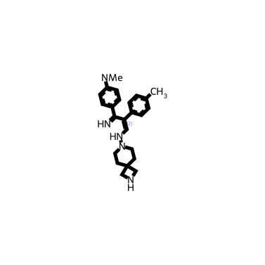 CNc1ccc(C(=N)/C(=C\NN2CCC3(CC2)CNC3)c2ccc(C)cc2)cc1